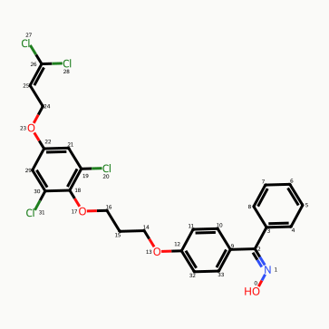 ON=C(c1ccccc1)c1ccc(OCCCOc2c(Cl)cc(OCC=C(Cl)Cl)cc2Cl)cc1